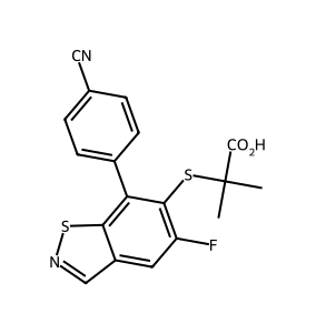 CC(C)(Sc1c(F)cc2cnsc2c1-c1ccc(C#N)cc1)C(=O)O